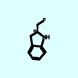 FC[C@@H]1Cc2ccccc2N1